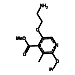 COC(=O)c1c(OCCN)cnc(OC(C)C)c1C